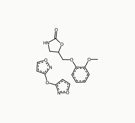 COc1ccccc1OCC1CNC(=O)O1.c1cc(Oc2ccon2)no1